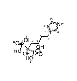 O=P(O)(O)C(O)(CCCCn1cncn1)P(=O)(O)O